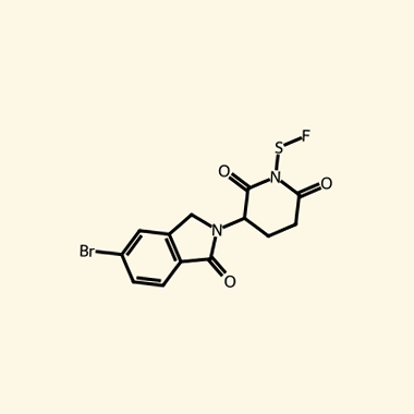 O=C1CCC(N2Cc3cc(Br)ccc3C2=O)C(=O)N1SF